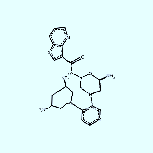 NC1CC(C(F)(F)F)CN(c2ccncc2N2CC(N)OC(NC(=O)c3csc4cccnc34)C2)C1